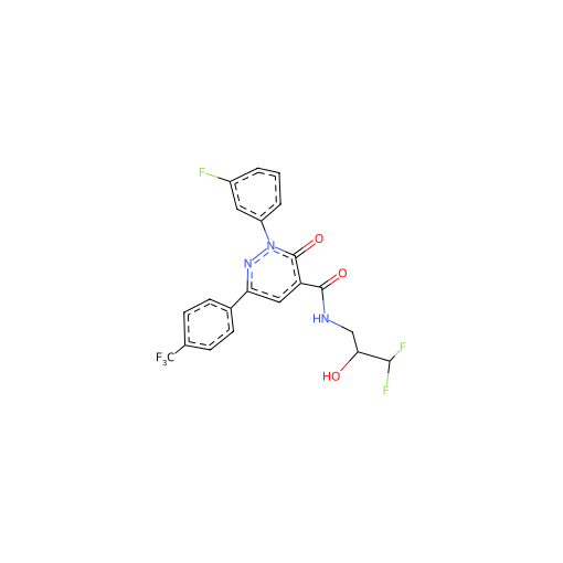 O=C(NCC(O)C(F)F)c1cc(-c2ccc(C(F)(F)F)cc2)nn(-c2cccc(F)c2)c1=O